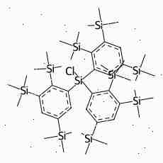 C[Si](C)(C)c1cc([Si](C)(C)C)c([Si](C)(C)C)c([Si](Cl)(c2cc([Si](C)(C)C)cc([Si](C)(C)C)c2[Si](C)(C)C)c2cc([Si](C)(C)C)cc([Si](C)(C)C)c2[Si](C)(C)C)c1